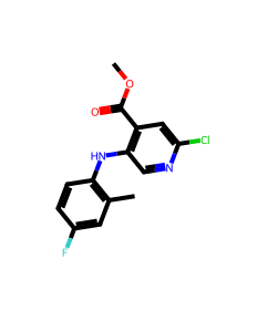 COC(=O)c1cc(Cl)ncc1Nc1ccc(F)cc1C